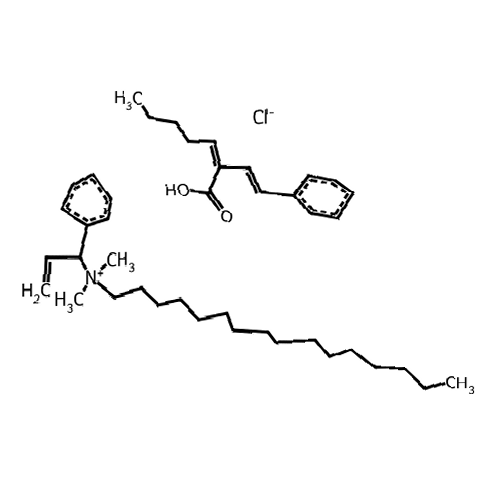 C=CC(c1ccccc1)[N+](C)(C)CCCCCCCCCCCCCCCC.CCCCC=C(C=Cc1ccccc1)C(=O)O.[Cl-]